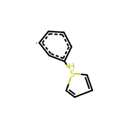 [c]1cccc([SH]2C=CC=C2)c1